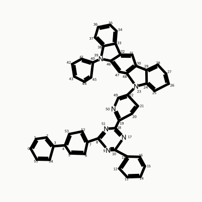 c1ccc(-c2ccc(-c3nc(-c4ccccc4)nc(-c4ccc(-n5c6ccccc6c6cc7c8ccccc8n(-c8ccccc8)c7cc65)cn4)n3)cc2)cc1